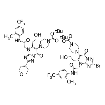 Cc1cc(C(F)(F)F)ccc1NC(=O)Cn1c(CCO)c(N2CCN(C(=O)OC(C)(C)C)CC2)c(=O)n2nc(Br)nc12.Cc1cc(C(F)(F)F)ccc1NC(=O)Cn1c(CCO)c(N2CCN(C(=O)OC(C)(C)C)CC2)c(=O)n2nc(C3=CCOCC3)nc12